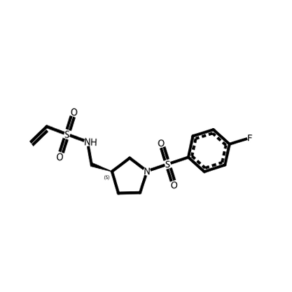 C=CS(=O)(=O)NC[C@@H]1CCN(S(=O)(=O)c2ccc(F)cc2)C1